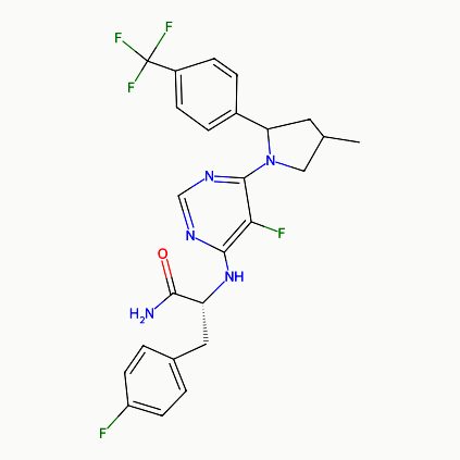 CC1CC(c2ccc(C(F)(F)F)cc2)N(c2ncnc(N[C@H](Cc3ccc(F)cc3)C(N)=O)c2F)C1